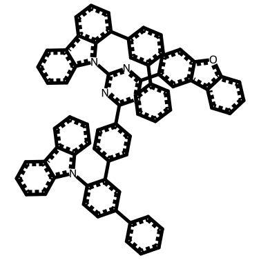 c1ccc(-c2cccc(-c3cccc4c5ccccc5n(-c5nc(-c6ccc(-c7cc(-c8ccccc8)ccc7-n7c8ccccc8c8ccccc87)cc6)nc(-c6ccc7oc8ccccc8c7c6)n5)c34)c2)cc1